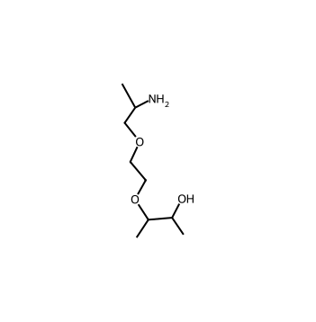 CC(N)COCCOC(C)C(C)O